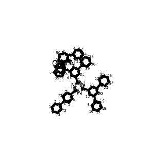 c1ccc(-c2ccc(-c3nc(-c4cc(-c5ccccc5)cc(-c5ccccc5)c4)nc(-c4cc(-c5ccccc5)c(-n5c6ccccc6c6ccc7oc8ccccc8c7c65)c(-c5ccccc5)c4)n3)cc2)cc1